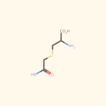 [NH]C(=O)CSCC(N)C(=O)O